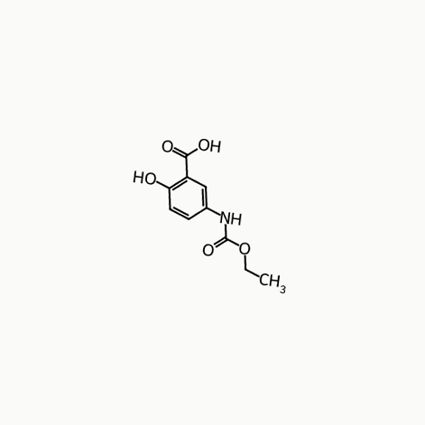 CCOC(=O)Nc1ccc(O)c(C(=O)O)c1